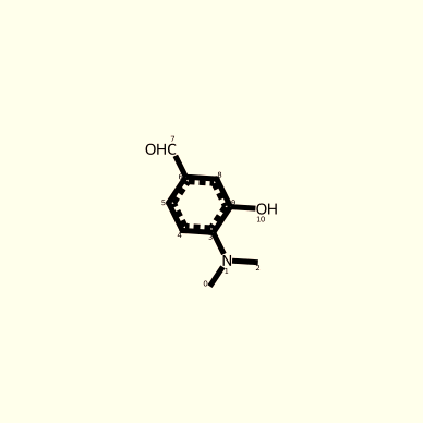 CN(C)c1ccc(C=O)cc1O